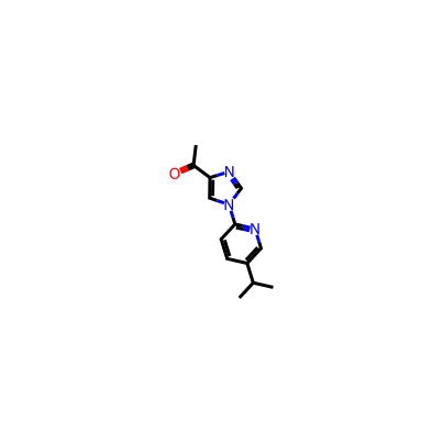 CC(=O)c1cn(-c2ccc(C(C)C)cn2)cn1